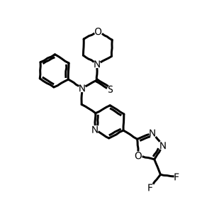 FC(F)c1nnc(-c2ccc(CN(C(=S)N3CCOCC3)c3ccccc3)nc2)o1